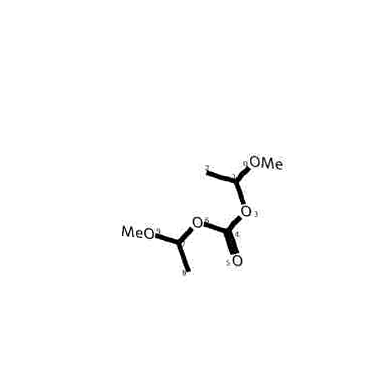 COC(C)OC(=O)OC(C)OC